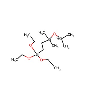 CCO[Si](CC[Si](C)(C)O[SiH](C)C)(OCC)OCC